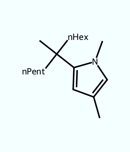 CCCCCCC(C)(CCCCC)c1cc(C)cn1C